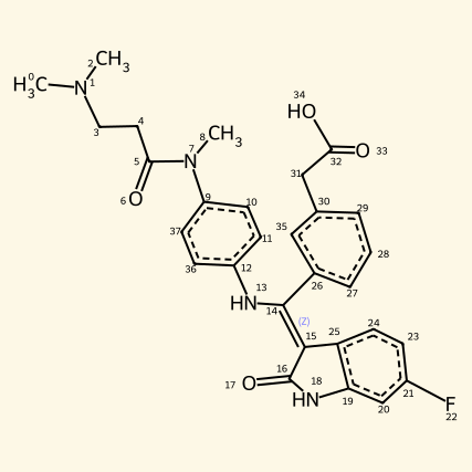 CN(C)CCC(=O)N(C)c1ccc(N/C(=C2\C(=O)Nc3cc(F)ccc32)c2cccc(CC(=O)O)c2)cc1